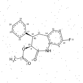 CS(=O)O[C@@H]1C(=O)Nc2cc(F)ccc2C[C@@H]1c1ccccc1